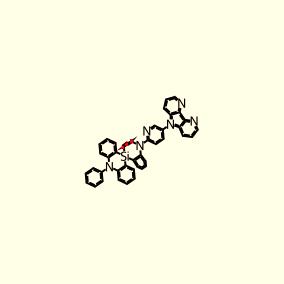 c1ccc(N2c3ccccc3[Si]3(c4ccccc42)c2ccccc2N(c2ccc(-n4c5cccnc5c5ncccc54)cn2)c2ccccc23)cc1